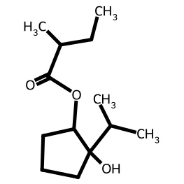 CCC(C)C(=O)OC1CCCC1(O)C(C)C